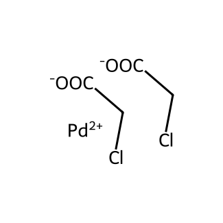 O=C([O-])CCl.O=C([O-])CCl.[Pd+2]